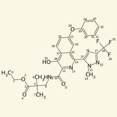 CCOC(=O)C(C)(C)CNC(=O)c1nc(-c2cc(C(F)(F)F)nn2C)c2cc(Oc3ccccc3)ccc2c1O